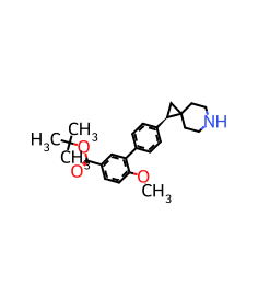 COc1ccc(C(=O)OC(C)(C)C)cc1-c1ccc([C@H]2CC23CCNCC3)cc1